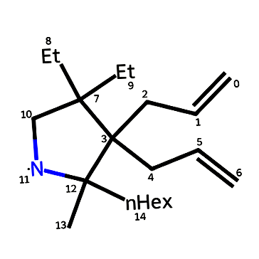 C=CCC1(CC=C)C(CC)(CC)C[N]C1(C)CCCCCC